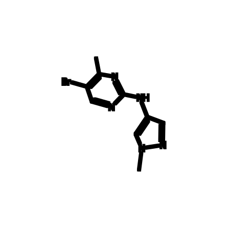 Cc1nc(Nc2cnn(C)c2)ncc1Br